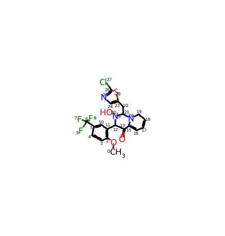 COc1ccc(C(F)(F)F)cc1C1C(=O)C2=CC=CCN2C(Cc2cnc(Cl)s2)N1O